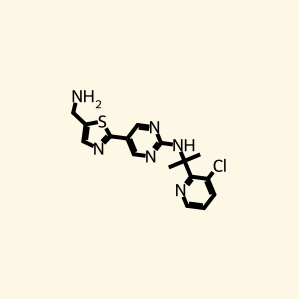 CC(C)(Nc1ncc(-c2ncc(CN)s2)cn1)c1ncccc1Cl